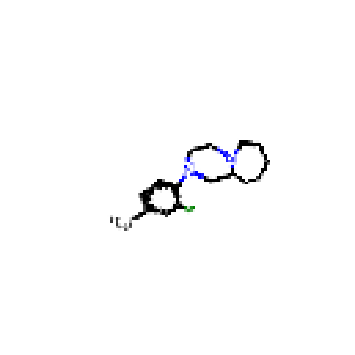 CC(C)(C)c1ccc(N2CCN3CCCCCC3C2)c(F)c1